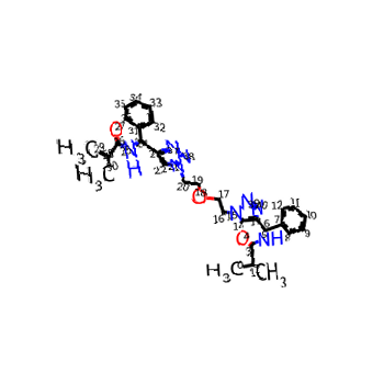 CC(C)C(=O)NC(c1ccccc1)c1cn(CCOCCn2cc(C(NC(=O)C(C)C)c3ccccc3)nn2)nn1